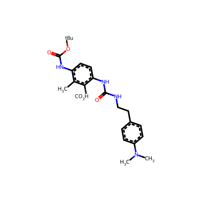 Cc1c(NC(=O)OC(C)(C)C)ccc(NC(=O)NCCc2ccc(N(C)C)cc2)c1C(=O)O